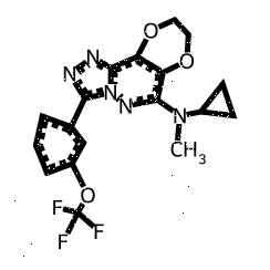 CN(c1nn2c(-c3cccc(OC(F)(F)F)c3)nnc2c2c1OCCO2)C1CC1